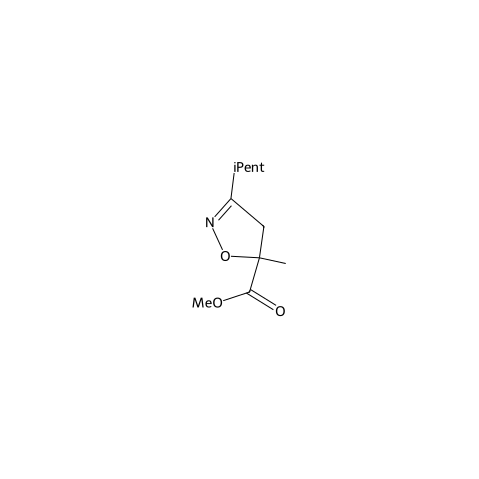 CCCC(C)C1=NOC(C)(C(=O)OC)C1